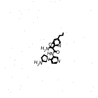 CCCc1cnc2c(C(=O)Nc3cnccc3N3CCC[C@H](N)C3)c(N)oc2c1